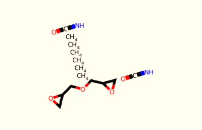 C.C.C.C.C.C.C(OCC1CO1)C1CO1.N=C=O.N=C=O